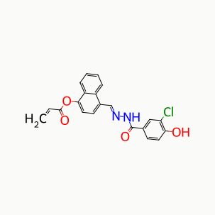 C=CC(=O)Oc1ccc(C=NNC(=O)c2ccc(O)c(Cl)c2)c2ccccc12